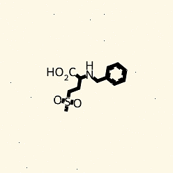 CS(=O)(=O)CCC(NCc1ccccc1)C(=O)O